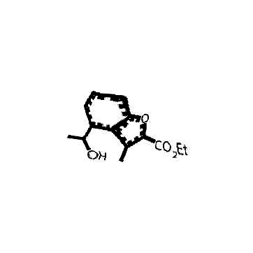 CCOC(=O)c1oc2cccc(C(C)O)c2c1C